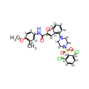 COc1ccc(NC(=O)c2cc3c(N4CCN(S(=O)(=O)c5c(Cl)cccc5Cl)CC4)cccc3o2)cc1C